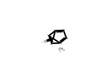 C.O=C1C2=CC=C1C=C2